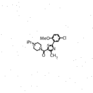 COc1ccc(Cl)cc1-c1nc(C)c(C(=O)N2CCN(C(C)C)CC2)s1